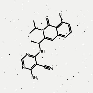 CC(C)n1c([C@H](C)Nc2ncnc(N)c2C#N)cc2cccc(Cl)c2c1=O